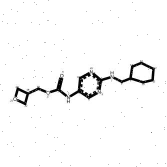 O=C(Nc1cnc(NCC2CCCCC2)nc1)OCC1COC1